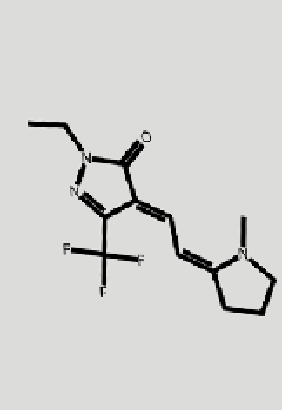 CCN1N=C(C(F)(F)F)/C(=C\C=C2\CCCN2C)C1=O